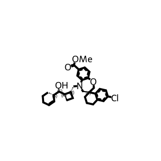 COC(=O)c1ccc2c(c1)N(C[C@@H]1CC[C@H]1[C@@H](O)[C@@H]1C=CCCC1)C[C@@]1(CCCc3cc(Cl)ccc31)CO2